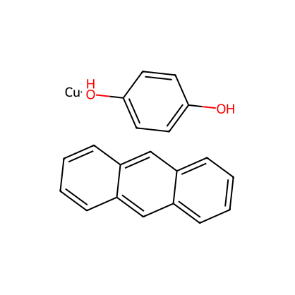 Oc1ccc(O)cc1.[Cu].c1ccc2cc3ccccc3cc2c1